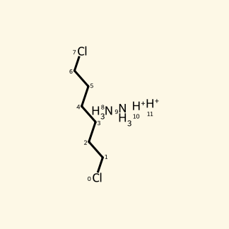 ClCCCCCCCl.N.N.[H+].[H+]